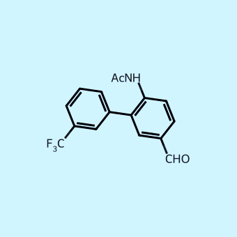 CC(=O)Nc1ccc(C=O)cc1-c1cccc(C(F)(F)F)c1